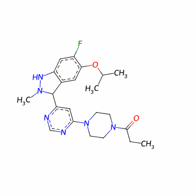 CCC(=O)N1CCN(c2cc(C3c4cc(OC(C)C)c(F)cc4NN3C)ncn2)CC1